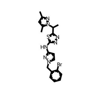 Cc1cc(C)n(C(C)c2nnc(Nc3ccn(Cc4ccccc4Br)n3)s2)n1